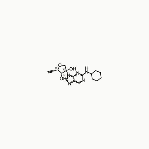 C#C[C@H]1OC[C@](O)(n2cnc3cnc(NC4CCCCC4)nc32)[C@H]1O